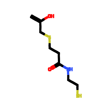 C=C(O)CSCCC(=O)NCCS